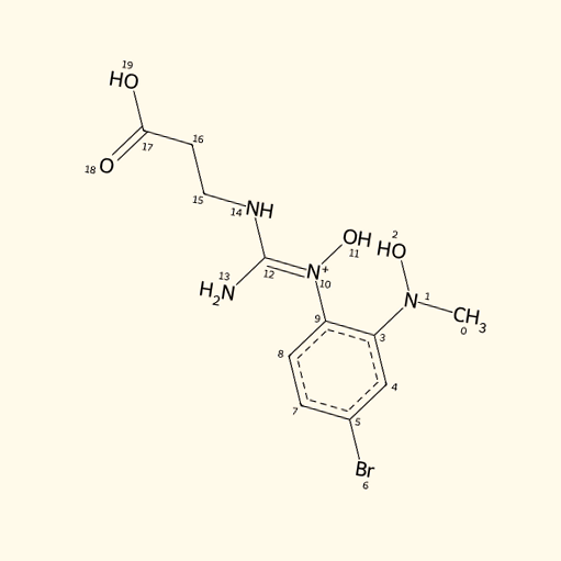 CN(O)c1cc(Br)ccc1/[N+](O)=C(\N)NCCC(=O)O